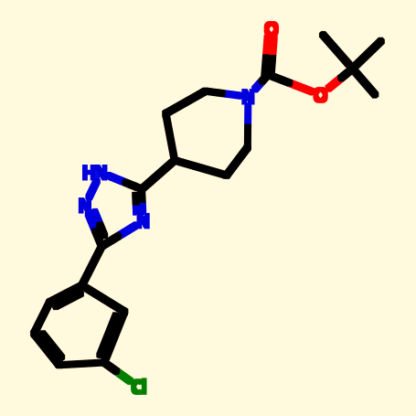 CC(C)(C)OC(=O)N1CCC(c2nc(-c3cccc(Cl)c3)n[nH]2)CC1